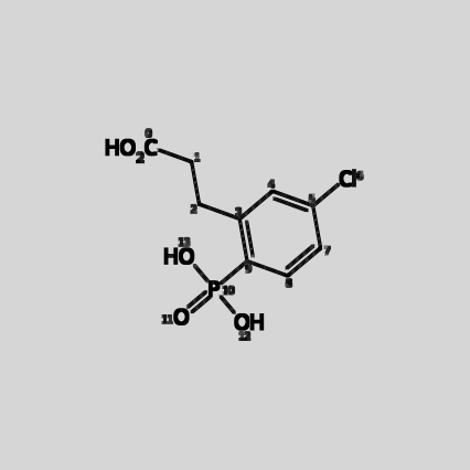 O=C(O)CCc1cc(Cl)ccc1P(=O)(O)O